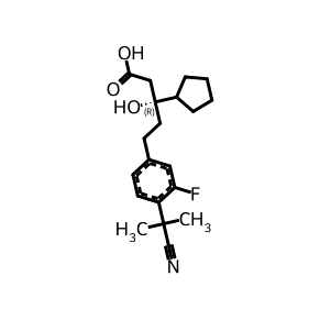 CC(C)(C#N)c1ccc(CC[C@@](O)(CC(=O)O)C2CCCC2)cc1F